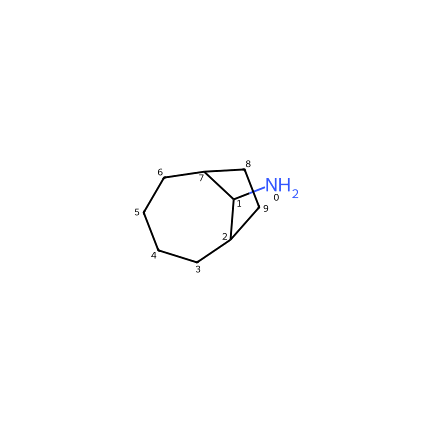 NC1C2CCCCC1CC2